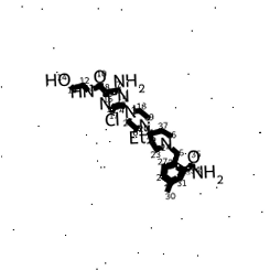 CC[C@H]1CN(c2nc(N)c(C(=O)NCCO)nc2Cl)CCN1C1CCN(Cc2ccc(C)cc2C(N)=O)CC1